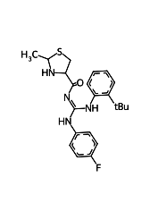 CC1NC(C(=O)/N=C(/Nc2ccc(F)cc2)Nc2ccccc2C(C)(C)C)CS1